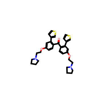 O=C(c1ccc(OCCN2CCCC2)cc1-c1ccsc1)c1ccc(OCCN2CCCC2)cc1-c1ccsc1